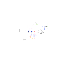 C[C@@H]1C[C@H](NS(C)(=O)=O)[C@H](CO[C@H]2CC[C@@]3(c4ncc(F)cn4)C[C@H]3C2)N1C(=O)OCC1CC1(F)F